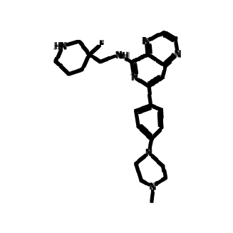 CN1CCN(c2ccc(-c3cc4nccnc4c(NCC4(F)CCCNC4)n3)cc2)CC1